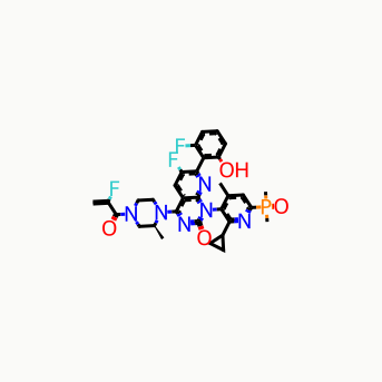 C=C(F)C(=O)N1CCN(c2nc(=O)n(-c3c(C)cc(P(C)(C)=O)nc3C3CC3)c3nc(-c4c(O)cccc4F)c(F)cc23)[C@@H](C)C1